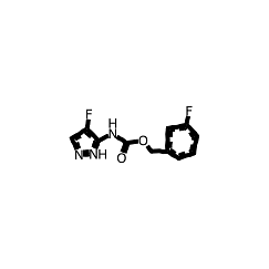 O=C(Nc1[nH]ncc1F)OCc1cccc(F)c1